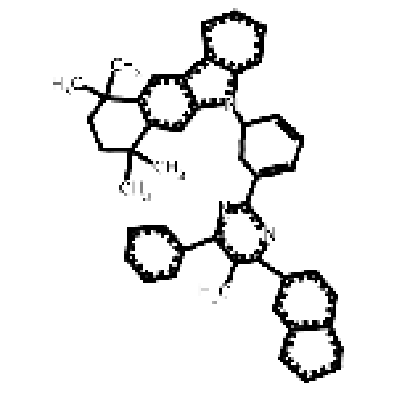 Cc1c(-c2ccccc2)nc(C2=CC=CC(n3c4ccccc4c4cc5c(cc43)C(C)(C)CCC5(C)C)C2)nc1-c1ccc2ccccc2c1